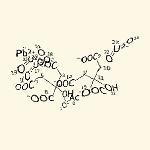 CC(=O)[O-].O=C([O-])CC(O)(CC(=O)[O-])C(=O)[O-].O=C([O-])CC(O)(CC(=O)[O-])C(=O)[O-].[O]=[U+2]=[O].[O]=[U+2]=[O].[O]=[U-2]=[O].[Pb+2]